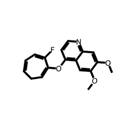 COc1cc2nccc(OC3=CCC=CC=C3F)c2cc1OC